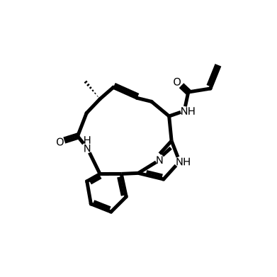 C=CC(=O)NC1C/C=C/[C@@H](C)CC(=O)Nc2ccccc2-c2c[nH]c1n2